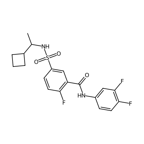 CC(NS(=O)(=O)c1ccc(F)c(C(=O)Nc2ccc(F)c(F)c2)c1)C1CCC1